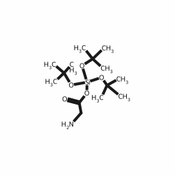 CC(C)(C)O[Si](OC(=O)CN)(OC(C)(C)C)OC(C)(C)C